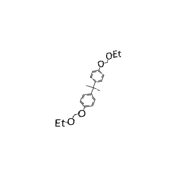 CCOCOc1ccc(C(C)(C)c2ccc(OCOCC)cc2)cc1